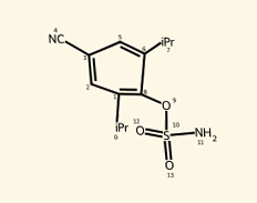 CC(C)c1cc(C#N)cc(C(C)C)c1OS(N)(=O)=O